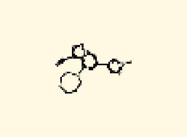 Cn1cc(-c2cc(N3CCCCCC3)c3c(C#N)cnn3c2)cn1